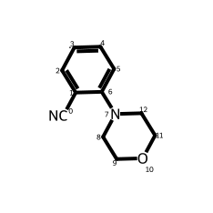 N#Cc1c[c]ccc1N1CCOCC1